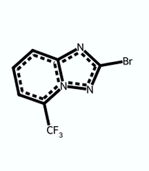 FC(F)(F)c1cccc2nc(Br)nn12